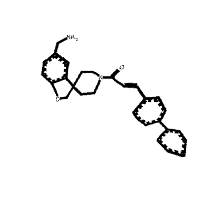 NCc1ccc2c(c1)C1(CCN(C(=O)C=Cc3ccc(-c4ccccc4)cc3)CC1)CO2